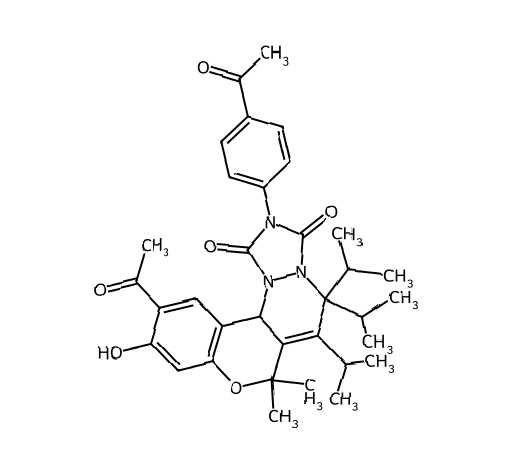 CC(=O)c1ccc(-n2c(=O)n3n(c2=O)C(C(C)C)(C(C)C)C(C(C)C)=C2C3c3cc(C(C)=O)c(O)cc3OC2(C)C)cc1